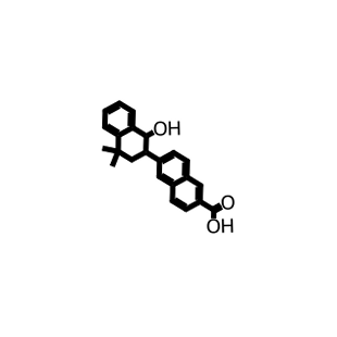 CC1(C)CC(c2ccc3cc(C(=O)O)ccc3c2)C(O)c2ccccc21